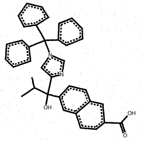 CC(C)C(O)(c1ccc2cc(C(=O)O)ccc2c1)c1cn(C(c2ccccc2)(c2ccccc2)c2ccccc2)cn1